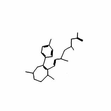 CC1CCC(C)C(/C=C/C(O)CC(O)CC(=O)[O-])=C(c2ccc(F)cc2)C1.[Na+]